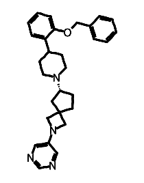 c1ccc(COc2ccccc2C2CCN([C@@H]3CCC4(C3)CN(c3cncnc3)C4)CC2)cc1